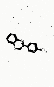 FC(F)(F)c1ccc(C2=Nc3ccccc3SC2)cc1